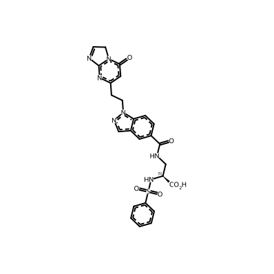 O=C(NC[C@H](NS(=O)(=O)c1ccccc1)C(=O)O)c1ccc2c(cnn2CCc2cc(=O)n3c(n2)N=CC3)c1